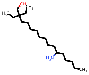 CCCCCC(N)CCCCCCCCC(CC)(CC)CO